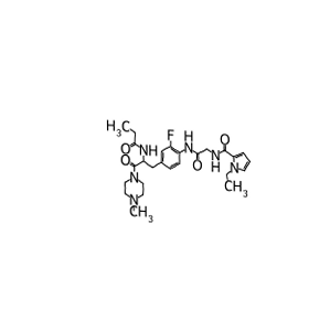 CCC(=O)NC(Cc1ccc(NC(=O)CNC(=O)c2cccn2CC)c(F)c1)C(=O)N1CCN(C)CC1